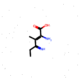 CCC(=N)/C(C)=C(\N)C(=O)O